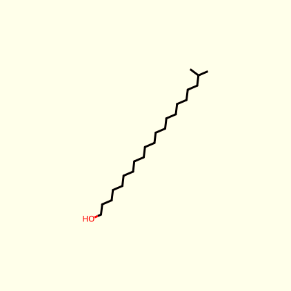 CC(C)CCCCCCCCCCCCCCCCCCCO